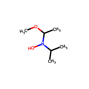 COC(C)N(O)C(C)C